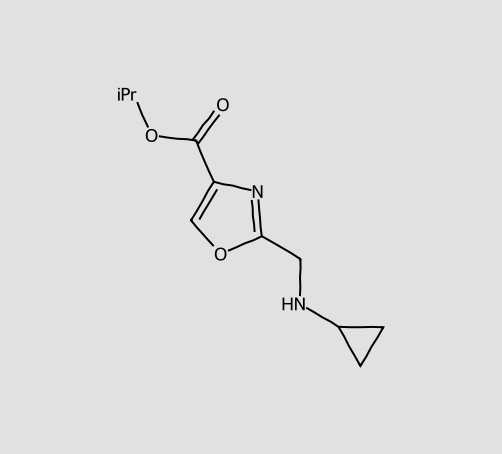 CC(C)OC(=O)c1coc(CNC2CC2)n1